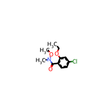 CCOc1cc(Cl)ccc1C(=O)N(C)OC